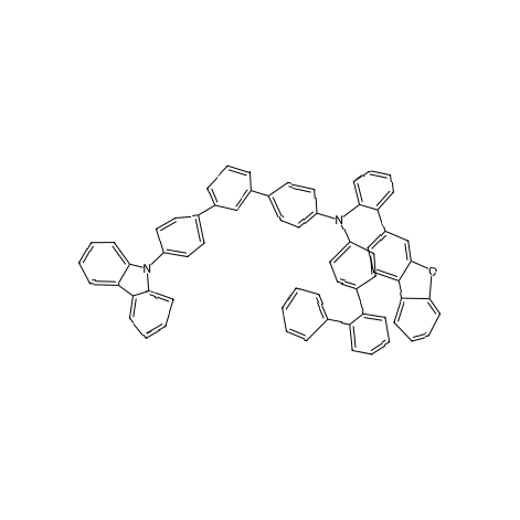 c1ccc(-c2ccccc2-c2ccc(N(c3ccc(-c4cccc(-c5ccc(-n6c7ccccc7c7ccccc76)cc5)c4)cc3)c3ccccc3-c3ccc4c(c3)oc3ccccc34)cc2)cc1